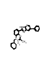 CC(C)Oc1c(OCC2CCCCC2)cccc1-c1nc2cc(-c3ccccc3)cnc2[nH]1